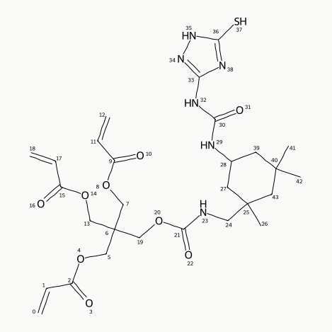 C=CC(=O)OCC(COC(=O)C=C)(COC(=O)C=C)COC(=O)NCC1(C)CC(NC(=O)Nc2n[nH]c(S)n2)CC(C)(C)C1